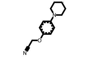 N#CCOc1ccc(N2CC[CH]CC2)cc1